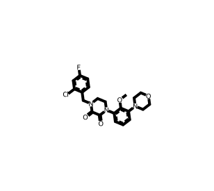 COc1c(N2CCOCC2)cccc1N1CCN(Cc2ccc(F)cc2Cl)C(=O)C1=O